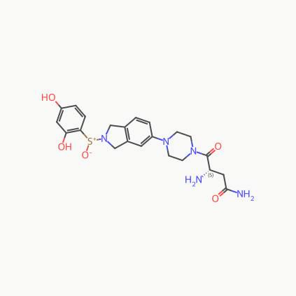 NC(=O)C[C@H](N)C(=O)N1CCN(c2ccc3c(c2)CN([S+]([O-])c2ccc(O)cc2O)C3)CC1